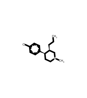 CCC[C@H]1CN(C)CC[C@H]1c1ccc(Cl)cc1